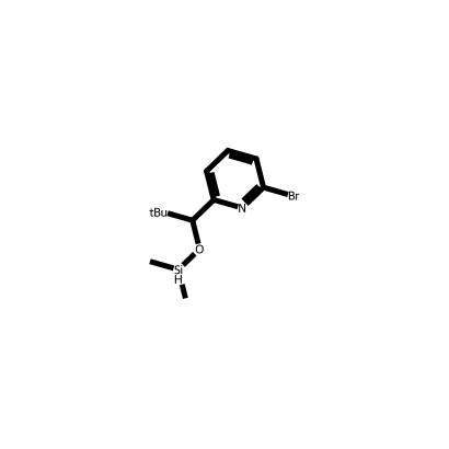 C[SiH](C)OC(c1cccc(Br)n1)C(C)(C)C